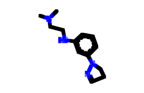 CN(C)CCNc1cccc(N2CCC=N2)c1